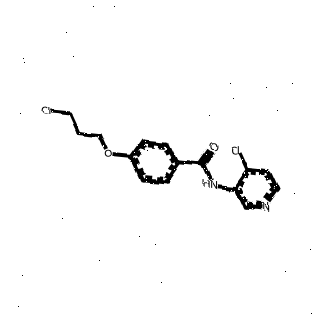 O=C(Nc1cnccc1Cl)c1ccc(OCCCCl)cc1